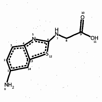 Nc1ccc2nc(NCC(=O)O)sc2c1